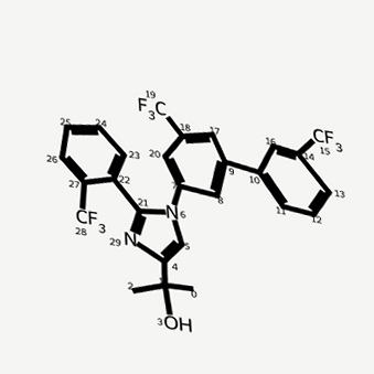 CC(C)(O)c1cn(-c2cc(-c3cccc(C(F)(F)F)c3)cc(C(F)(F)F)c2)c(-c2ccccc2C(F)(F)F)n1